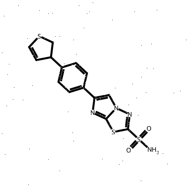 NS(=O)(=O)c1nn2cc(-c3ccc(C4C=CSC4)cc3)nc2s1